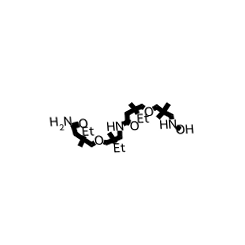 CCC(C)(CNC(=O)CC(C)(CC)COCC(C)(C)CNO)COCC(C)(CC)CC(N)=O